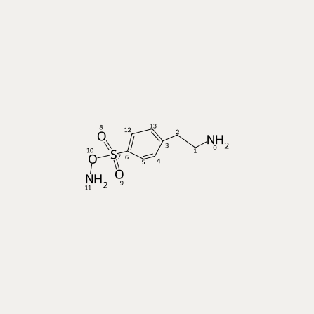 NCCc1ccc(S(=O)(=O)ON)cc1